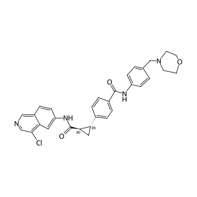 O=C(Nc1ccc(CN2CCOCC2)cc1)c1ccc([C@@H]2C[C@H]2C(=O)Nc2ccc3cncc(Cl)c3c2)cc1